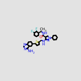 C[C@H](NC(=O)c1cn(-c2ccccc2)nc1NCc1ccc(-c2ccc3ncnc(N)c3c2)s1)c1cccc(F)c1F